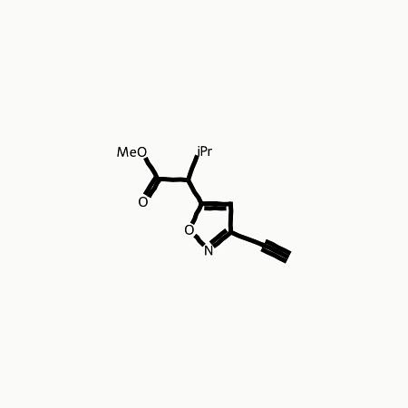 C#Cc1cc(C(C(=O)OC)C(C)C)on1